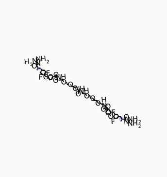 C/C(=C\c1cc(F)c(Oc2ccc(S(=O)(=O)NCCOCCOCCOCCNC(=O)NOCCOCCOCCNS(=O)(=O)c3ccc(Oc4c(F)cc(/C=C(\C)C(=O)N=C(N)N)cc4F)cc3)cc2)c(F)c1)C(=O)N=C(N)N